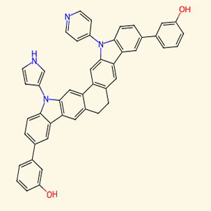 Oc1cccc(-c2ccc3c(c2)c2cc4c(cc2n3-c2ccncc2)-c2cc3c(cc2CC4)c2cc(-c4cccc(O)c4)ccc2n3-c2cc[nH]c2)c1